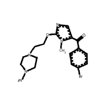 CC(C)N1CCN(CCOc2ncc(C(=O)c3ccc(Br)cc3)n2C)CC1